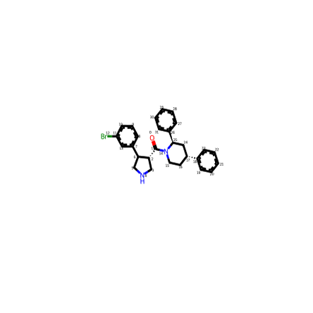 O=C([C@@H]1CNCC1c1cccc(Br)c1)N1CC[C@@H](c2ccccc2)C[C@@H]1c1ccccc1